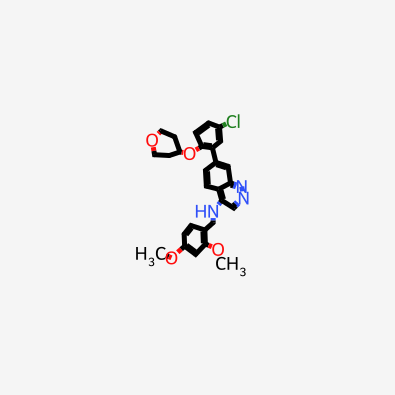 COc1ccc(CNc2cnnc3cc(-c4cc(Cl)ccc4OC4CCOCC4)ccc23)c(OC)c1